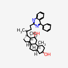 C[C@H](CCc1nc(-c2ccccc2)c2ccccc2n1)[C@H]1CC[C@H]2[C@@H]3CC[C@@H]4C[C@H](O)CC[C@]4(C)C3C[C@H](O)[C@]12C